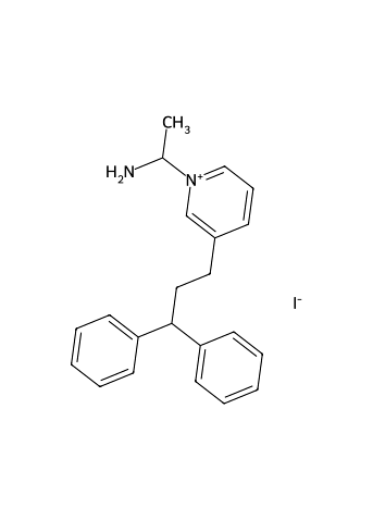 CC(N)[n+]1cccc(CCC(c2ccccc2)c2ccccc2)c1.[I-]